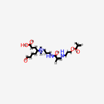 C=C(C)C(=O)OCCCNC=C(C)C(=O)NCCC[N+](C)(C)C(CCCC=O)CCC(=O)O